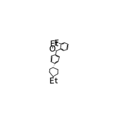 CCOC(c1ccc([C@H]2CC[C@H](CC)CC2)cc1)c1ccccc1F